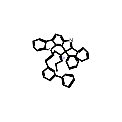 CC/C=C(\CC)C1(c2ccccc2)C(C2=CC=CCC2)=Nc2ccc3c4ccccc4n(C=Cc4cccc(-c5ccccc5)c4)c3c21